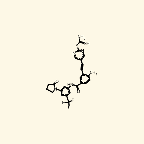 Cc1ccc(C(=O)Nc2cc(N3CCCC3=O)cc(C(F)(F)F)c2)cc1C#Cc1cnc(SC(=N)N)nc1